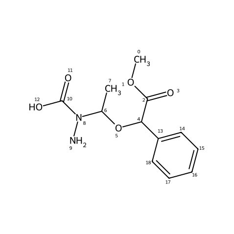 COC(=O)C(OC(C)N(N)C(=O)O)c1ccccc1